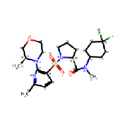 Cc1ccc(S(=O)(=O)N2CCC[C@H]2C(=O)N(C)C2CCC(F)(F)CC2)c(N2CCOC[C@@H]2C)n1